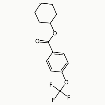 O=C(OC1CC[CH]CC1)c1ccc(OC(F)(F)F)cc1